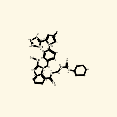 CCOc1nc2cccc(C(=O)OCOC(=O)OC3CCCCC3)c2n1Cc1ccc(-n2cc(C)cc2-c2nnn[nH]2)cc1